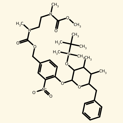 COC(=O)N(C)CCN(C)C(=O)OCc1ccc(OC2OC(Cc3ccccc3)C(C)C(C)C2O[Si](C)(C)C(C)(C)C)c([N+](=O)[O-])c1